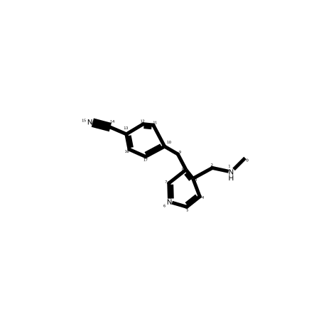 CNCc1ccncc1Cc1ccc(C#N)cc1